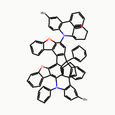 CC(C)(C)c1ccc(N(c2ccccc2)c2cc3c(c4oc5ccccc5c24)-c2c(cc(N(C4=CCCC=C4)c4ccc(C(C)(C)C)cc4-c4ccccc4)c4oc5ccccc5c24)C3(c2ccccc2)c2ccccc2)c(C2=CCCC=C2)c1